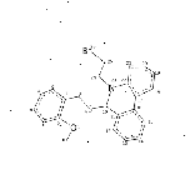 COc1ccccc1CSC1c2ccccc2-c2ccccc2N1CCBr